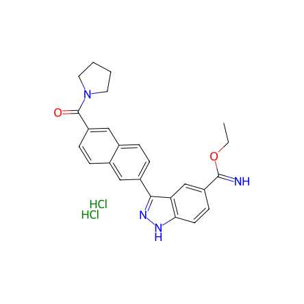 CCOC(=N)c1ccc2[nH]nc(-c3ccc4cc(C(=O)N5CCCC5)ccc4c3)c2c1.Cl.Cl